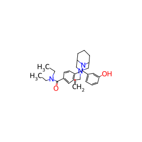 C=CCN1CC2CCCC(C1)N2C(c1ccc(C(=O)N(CC)CC)cc1)c1cccc(O)c1